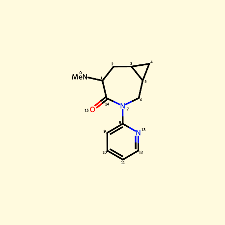 CNC1CC2CC2CN(c2ccccn2)C1=O